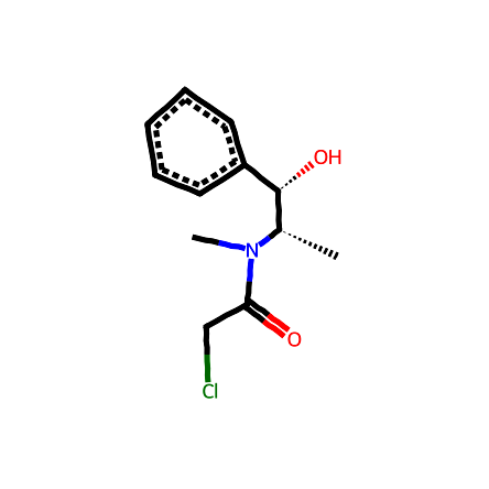 C[C@@H]([C@@H](O)c1ccccc1)N(C)C(=O)CCl